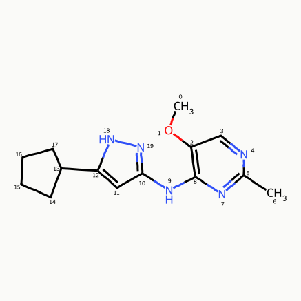 COc1cnc(C)nc1Nc1cc(C2CCCC2)[nH]n1